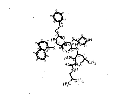 CC(C)CNC(=O)CC(O)C(CC(C)C)NC(=O)[C@H](Cc1c[nH]cn1)NC(=O)[C@H](Cc1cccc2ccccc12)NC(=O)OCc1ccccc1